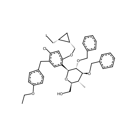 CCOc1ccc(Cc2cc([C@@H]3O[C@H](CO)[C@@H](C)[C@H](OCc4ccccc4)[C@H]3OCc3ccccc3)c(OC[C@H]3C[C@H]3CI)cc2Cl)cc1